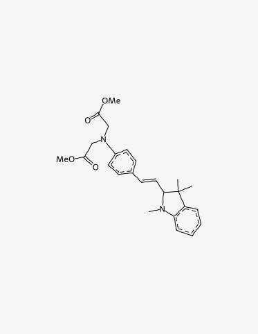 COC(=O)CN(CC(=O)OC)c1ccc(/C=C/C2N(C)c3ccccc3C2(C)C)cc1